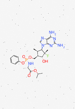 CC(C)OC(=O)[C@H](C)N[P@](=O)(OC[C@H]1[C@@H](C)[C@@H](n2cnc3c(N)nc(N)nc32)[C@](C)(F)[C@@H]1O)Oc1ccccc1